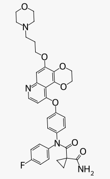 NC(=O)C1(C(=O)N(c2ccc(F)cc2)c2ccc(Oc3ccnc4cc(OCCCN5CCOCC5)c5c(c34)OCCO5)cc2)CC1